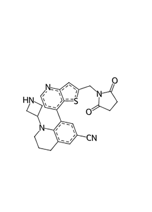 N#Cc1cc2c(c(-c3ccnc4cc(CN5C(=O)CCC5=O)sc34)c1)N(C1CNC1)CCC2